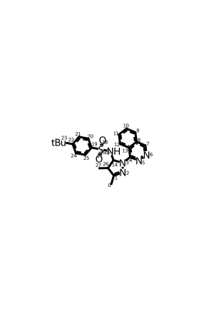 CC1=NN(c2nncc3ccccc23)C(NS(=O)(=O)c2ccc(C(C)(C)C)cc2)C1C